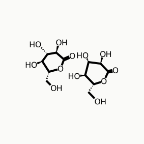 O=C1O[C@H](CO)[C@@H](O)[C@H](O)[C@H]1O.O=C1O[C@H](CO)[C@@H](O)[C@H](O)[C@H]1O